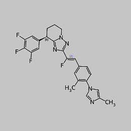 Cc1cn(-c2ccc(/C=C(\F)c3nc4n(n3)CCC[C@@H]4c3cc(F)c(F)c(F)c3)cc2C)cn1